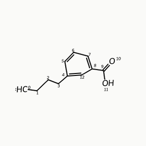 [CH]CCCc1cccc(C(=O)O)c1